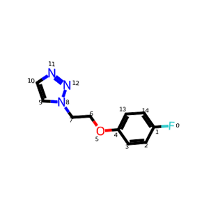 Fc1ccc(OCCn2ccnn2)cc1